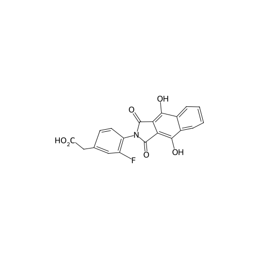 O=C(O)Cc1ccc(N2C(=O)c3c(c(O)c4ccccc4c3O)C2=O)c(F)c1